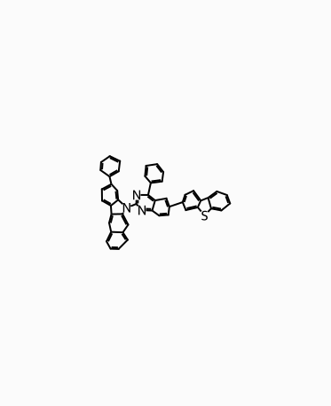 c1ccc(-c2ccc3c4cc5ccccc5cc4n(-c4nc(-c5ccccc5)c5cc(-c6ccc7c(c6)sc6ccccc67)ccc5n4)c3c2)cc1